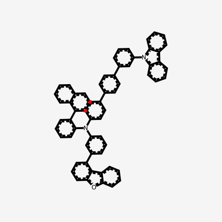 c1cc(-c2cccc3oc4ccccc4c23)cc(N(c2ccc(-c3ccc(-c4cccc(-n5c6ccccc6c6ccccc65)c4)cc3)cc2)c2ccccc2-c2cccc3ccccc23)c1